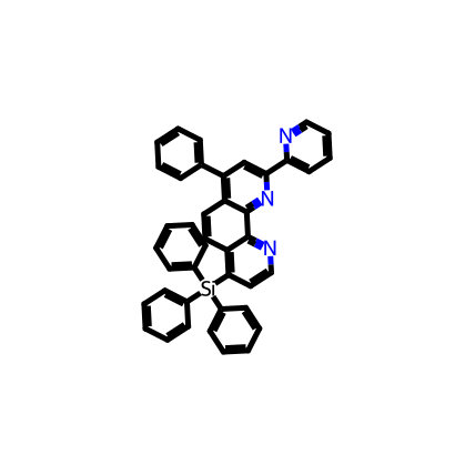 c1ccc(-c2cc(-c3ccccn3)nc3c2ccc2c([Si](c4ccccc4)(c4ccccc4)c4ccccc4)ccnc23)cc1